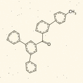 Cc1ccc(-c2cccc(C(=O)c3cc(-c4ccccc4)cc(-c4ccccc4)c3)c2)cc1